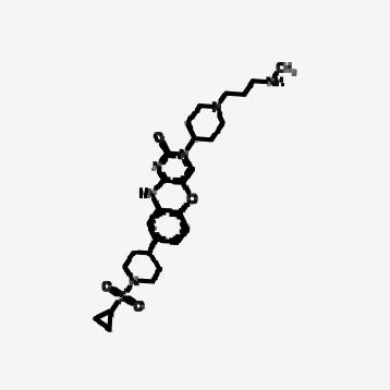 CNCCCN1CCC(n2cc3c(nc2=O)Nc2cc(C4CCN(S(=O)(=O)C5CC5)CC4)ccc2O3)CC1